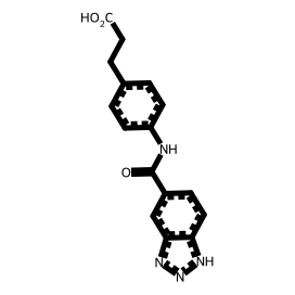 O=C(O)CCc1ccc(NC(=O)c2ccc3[nH]nnc3c2)cc1